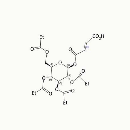 CCC(=O)OC[C@H]1O[C@@H](OC(=O)/C=C/C(=O)O)[C@H](OC(=O)CC)[C@@H](OC(=O)CC)[C@@H]1OC(=O)CC